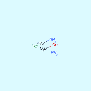 CCCCN.Cl.N.O=[N+]([O-])O